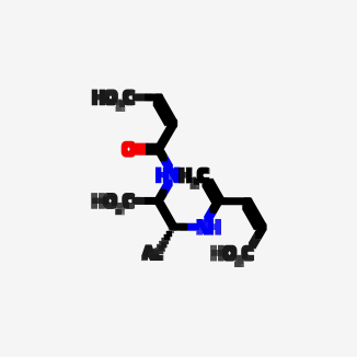 C=C(/C=C\C(=O)O)N[C@H](C(C)=O)C(NC(=O)/C=C\C(=O)O)C(=O)O